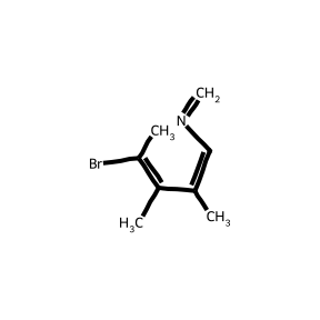 C=N/C=C(C)\C(C)=C(/C)Br